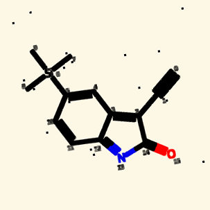 C#CC1=c2cc([Si](C)(C)C)ccc2=NC1=O